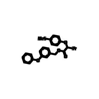 CSc1ccc(OC(C(=O)OCc2cccc(Oc3ccccc3)c2)C(C)C)cc1